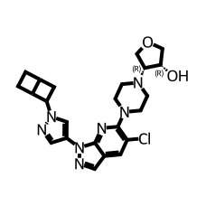 O[C@H]1COC[C@H]1N1CCN(c2nc3c(cnn3-c3cnn(C4CC5CCC54)c3)cc2Cl)CC1